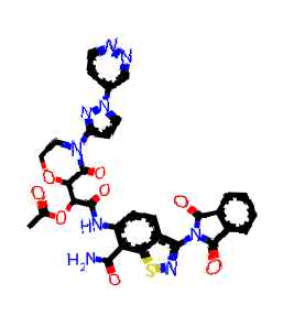 CC(=O)OC(C(=O)Nc1ccc2c(N3C(=O)c4ccccc4C3=O)nsc2c1C(N)=O)C1OCCN(c2ccn(-c3ccnnc3)n2)C1=O